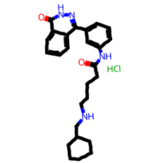 Cl.O=C(CCCCNCC1CCCCC1)Nc1cccc(-c2n[nH]c(=O)c3ccccc23)c1